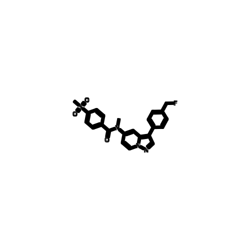 CN(C(=O)c1ccc(S(C)(=O)=O)cc1)c1ccn2ncc(-c3ccc(CF)cc3)c2c1